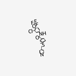 O=C(Nc1ccc(OC(F)(F)F)c(Cl)c1)c1ccc(SCc2ccncc2)s1